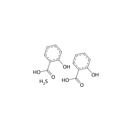 O=C(O)c1ccccc1O.O=C(O)c1ccccc1O.S